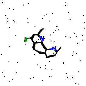 Cc1ccc2ccc3c(Br)cc(C)nc3c2n1